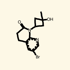 CC1(O)CC(N2C(=O)CCc3cc(Br)cnc32)C1